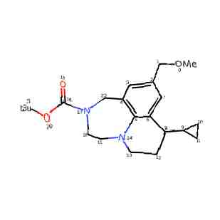 COCc1cc2c3c(c1)C(C1CC1)CCN3CCN(C(=O)OC(C)(C)C)C2